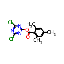 Cc1cc(C)c(C(=O)Oc2nc(Cl)nc(Cl)n2)c(C)c1